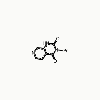 CC(C)n1c(=O)[nH]c2cnccc2c1=O